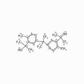 Cc1ccc(C(c2ccc(C)c(C(C)(O)C(F)(F)F)c2)(C(F)(F)F)C(F)(F)F)cc1C(C)(O)C(F)(F)F